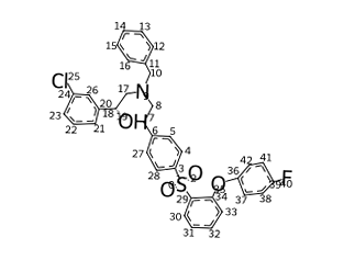 O=S(=O)(c1ccc(CCN(Cc2ccccc2)C[C@H](O)c2cccc(Cl)c2)cc1)c1ccccc1Oc1ccc(F)cc1